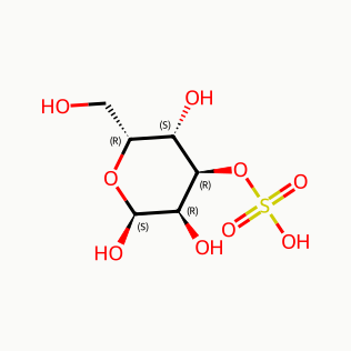 O=S(=O)(O)O[C@H]1[C@@H](O)[C@@H](O)O[C@H](CO)[C@@H]1O